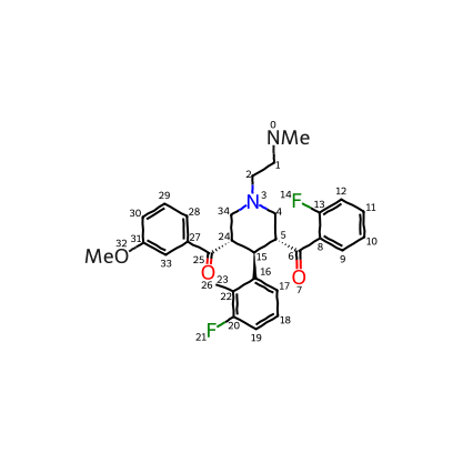 CNCCN1C[C@H](C(=O)c2ccccc2F)[C@@H](c2cccc(F)c2C)[C@H](C(=O)c2cccc(OC)c2)C1